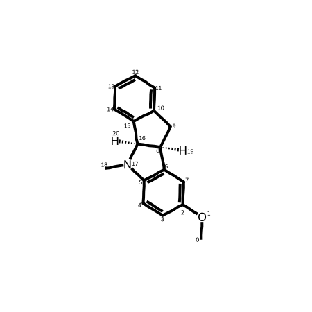 COc1ccc2c(c1)[C@@H]1Cc3ccccc3[C@@H]1N2C